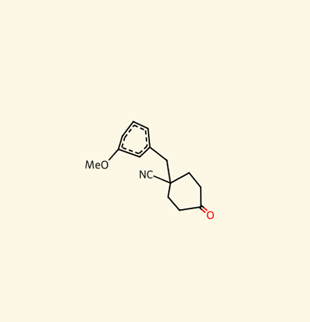 COc1cccc(CC2(C#N)CCC(=O)CC2)c1